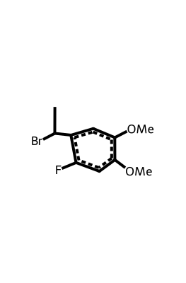 COc1cc(F)c(C(C)Br)cc1OC